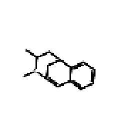 CC1CC2CC(=Cc3ccccc32)N1C